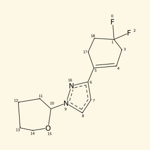 FC1(F)CC=C(c2ccn(C3CCCCO3)n2)CC1